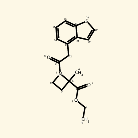 CCOC(=O)C1(C)CCN1C(=O)Cc1cccc2sccc12